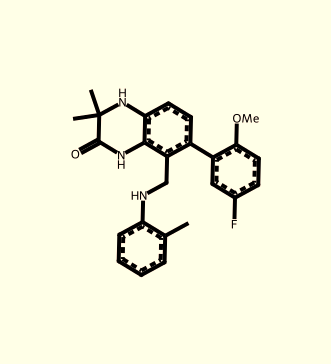 COc1ccc(F)cc1-c1ccc2c(c1CNc1ccccc1C)NC(=O)C(C)(C)N2